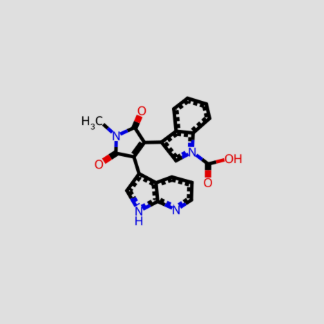 CN1C(=O)C(c2c[nH]c3ncccc23)=C(c2cn(C(=O)O)c3ccccc23)C1=O